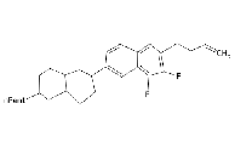 C=CCCc1cc2ccc(C3CCC4CC(CCCCC)CCC4C3)cc2c(F)c1F